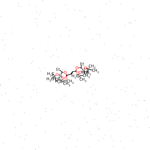 CCC(OC(=O)C=CC(=O)OC(CC)[Si](C)(O[Si](C)(C)C)O[Si](C)(C)C)[Si](C)(O[Si](C)(C)C)O[Si](C)(C)C